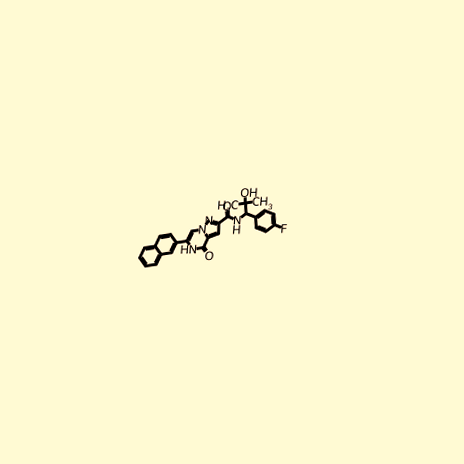 CC(C)(O)C(NC(=O)c1cc2c(=O)[nH]c(-c3ccc4ccccc4c3)cn2n1)c1ccc(F)cc1